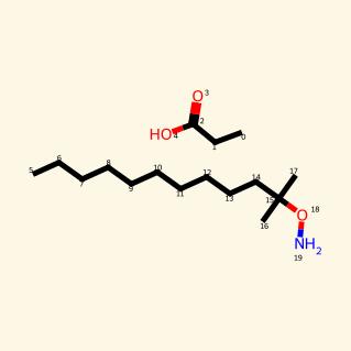 CCC(=O)O.CCCCCCCCCCC(C)(C)ON